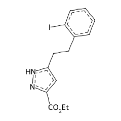 CCOC(=O)c1cc(CCc2ccccc2I)[nH]n1